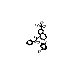 CCc1ccc(O[C@H]2CCc3cc(C(O)(C(F)(F)F)C(F)(F)F)ccc3N(C(=O)[C@@H](O)c3ccccc3)C2)cc1